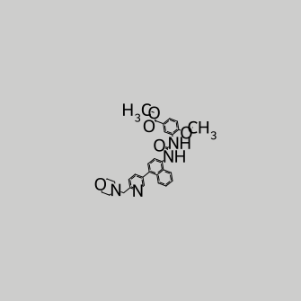 COC(=O)c1ccc(OC)c(NC(=O)Nc2ccc(-c3ccc(CN4CCOCC4)nc3)c3ccccc23)c1